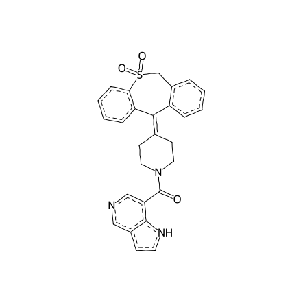 O=C(c1cncc2cc[nH]c12)N1CCC(=C2c3ccccc3CS(=O)(=O)c3ccccc32)CC1